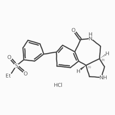 CCS(=O)(=O)c1cccc(-c2ccc3c(c2)C(=O)NC[C@H]2CNC[C@H]32)c1.Cl